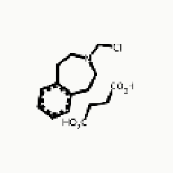 ClCN1CCc2ccccc2CC1.O=C(O)CCC(=O)O